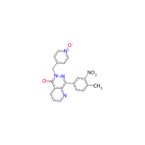 Cc1ccc(-c2nn(Cc3cc[n+]([O-])cc3)c(=O)c3cccnc23)cc1[N+](=O)[O-]